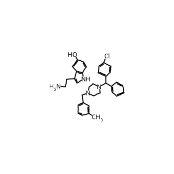 Cc1cccc(CN2CCN(C(c3ccccc3)c3ccc(Cl)cc3)CC2)c1.NCCc1c[nH]c2ccc(O)cc12